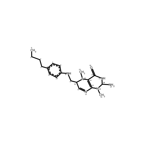 CCCCc1ccc(NCC2C=NC3=C(C(=O)NC(N)N3C)N2C)cc1